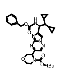 CC(C)(C)OC(=O)N1CCOCC1c1cnn2cc([C@@H](NC(=O)OCc3ccccc3)C(C3CC3)C3CC3)nc2n1